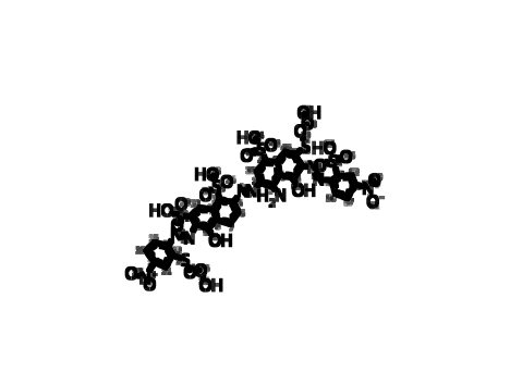 Nc1c(N=Nc2ccc3c(O)c(N=Nc4ccc([N+](=O)[O-])cc4SOOO)c(S(=O)(=O)O)cc3c2S(=O)(=O)O)cc(S(=O)(=O)O)c2cc(SOOO)c(N=Nc3ccc([N+](=O)[O-])cc3S(=O)(=O)O)c(O)c12